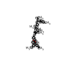 COC(=O)[C@H](Cc1ccc(OC(COC(C)=O)COS(=O)(=O)c2ccc(C)cc2)cc1)NC(=O)C(C(C)C)n1cc(COc2ccc3nc(S(=O)(=O)NC(c4ccccc4)(c4ccc(OC)cc4)c4ccc(OC)cc4)sc3c2)nn1